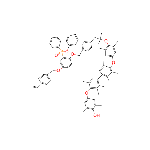 C=Cc1ccc(COc2ccc(OCc3ccc(CC(C)(C)Oc4c(C)cc(Oc5c(C)cc(-c6cc(C)c(Oc7cc(C)c(O)c(C)c7)c(C)c6C)c(C)c5C)cc4C)cc3)c(P3(=O)Oc4ccccc4-c4ccccc43)c2)cc1